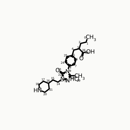 CCCC(Cc1ccc(-n2c(C)nn(CCC3CCNCC3)c2=O)cc1)C(=O)O.Cl